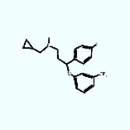 CN(CCC(Oc1cccc(C(F)(F)F)c1)c1ccc(F)cc1)CC1CC1